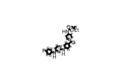 CCC(C)(C)OC(=O)NC1CCN(C(=O)c2ccc(Nc3nccc(Nc4ccc(F)cc4)n3)cc2)CC1